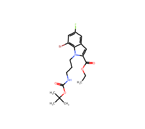 CCOC(=O)c1cc2cc(F)cc(Br)c2n1CCCNC(=O)OC(C)(C)C